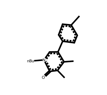 CCCCn1cc(-c2ccc(C)cc2)c(C)c(C)c1=O